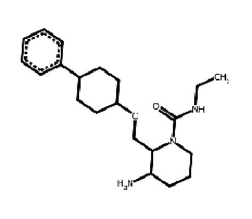 CCNC(=O)N1CCCC(N)C1COC1CCC(c2ccccc2)CC1